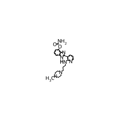 CN1CCN(CCCNc2ncccc2-c2nc3c(OC(N)=O)cccc3[nH]2)CC1